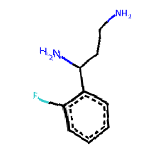 NCCC(N)c1ccccc1F